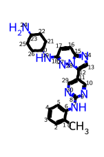 Cc1ccccc1Nc1ncc(-c2cnc3ccc(N[C@H]4CC[C@H](N)CC4)nn23)cn1